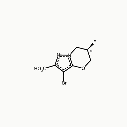 O=C(O)c1nn2c(c1Br)OC[C@H](F)C2